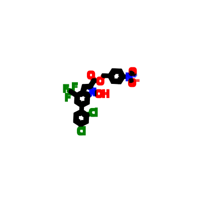 O=C(OCc1ccc([N+](=O)[O-])cc1)c1cc2c(C(F)(F)F)cc(-c3ccc(Cl)cc3Cl)cc2n1O